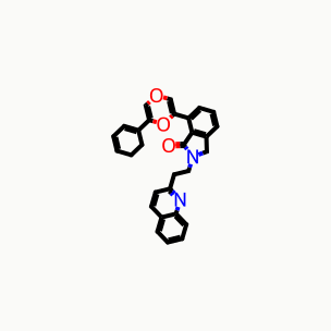 O=C1c2c(cccc2C2=COC=C(C3=CC=CCC3)O2)CN1CCc1ccc2ccccc2n1